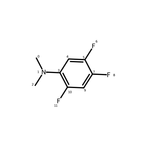 CN(C)c1cc(F)c(F)cc1F